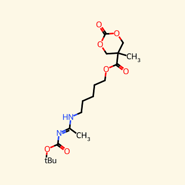 C/C(=N\C(=O)OC(C)(C)C)NCCCCCOC(=O)C1(C)COC(=O)OC1